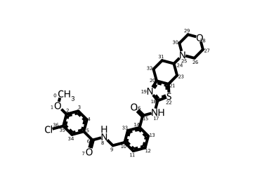 COc1ccc(C(=O)NCc2cccc(C(=O)Nc3nc4c(s3)CC(N3CCOCC3)CC4)c2)cc1Cl